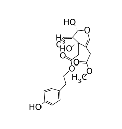 C/C=C1/[C@H](O)OC=C(CC(=O)OC)[C@@]1(O)CC(=O)OCCc1ccc(O)cc1